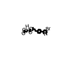 COC(=O)CNC(=O)OC(C)(C)CCc1ccc(-c2cncc(Br)c2)cc1